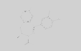 CC(=O)N1N=C(c2ccc(N)c(C)c2)c2cc(Cl)ccc2C[C@@H]1C